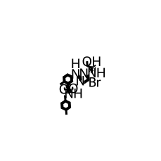 Cc1ccc(CNS(=O)(=O)c2cc(Nc3ncc(Br)c(N[C@H](C)CO)n3)ccc2C)cc1